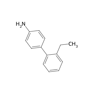 CCc1ccccc1-c1ccc(N)cc1